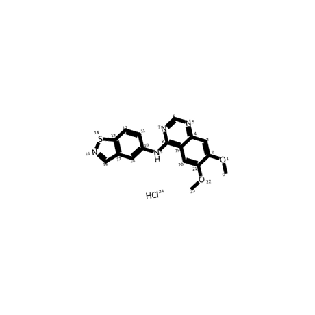 COc1cc2ncnc(Nc3ccc4sncc4c3)c2cc1OC.Cl